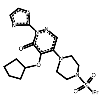 CC(C)S(=O)(=O)N1CCN(c2cnn(-c3nccs3)c(=O)c2OC2CCCC2)CC1